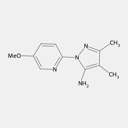 COc1ccc(-n2nc(C)c(C)c2N)nc1